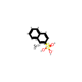 O=[SH]([O-])([O-])c1ccc2ccccc2c1.[Sr+2]